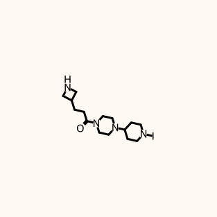 O=C(CCC1CNC1)N1CCN(C2CCN(I)CC2)CC1